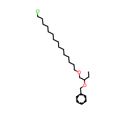 CCC(COCCCCCCCCCCCCCCCCl)OCc1ccccc1